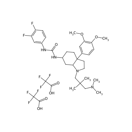 COc1ccc(C23CCC(NC(=O)Nc4ccc(F)c(F)c4)CC2N(CC(C)(C)CN(C)C)CC3)cc1OC.O=C(O)C(F)(F)F.O=C(O)C(F)(F)F